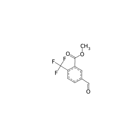 COC(=O)c1cc(C=O)ccc1C(F)(F)F